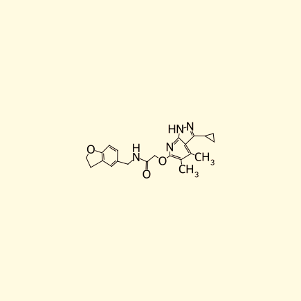 Cc1c(OCC(=O)NCc2ccc3c(c2)CCO3)nc2[nH]nc(C3CC3)c2c1C